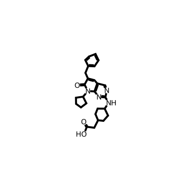 O=C(O)CC1CCC(Nc2ncc3cc(Cc4ccccc4)c(=O)n(C4CCCC4)c3n2)CC1